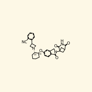 N#Cc1ccccc1C1CN([C@H]2CCCC[C@@H]2Oc2ccc3c(c2)CN(C24CC(C2)C(=O)NC4=O)C3=O)C1